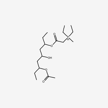 CCC(CC(O)CC(CC)OC(=O)C[PH](C)(CC)CC)OC(C)=O